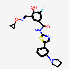 O=C(Nc1ncc(-c2cccc(N3CCCC3)c2)s1)c1cc(F)c(O)c(C=NOC2CC2)c1